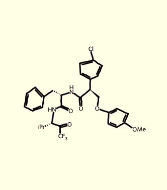 COc1ccc(OC[C@@H](C(=O)N[C@@H](Cc2ccccc2)C(=O)N[C@H](C(=O)C(F)(F)F)C(C)C)c2ccc(Cl)cc2)cc1